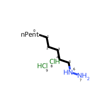 CCCCCCCCCCNN.Cl.Cl